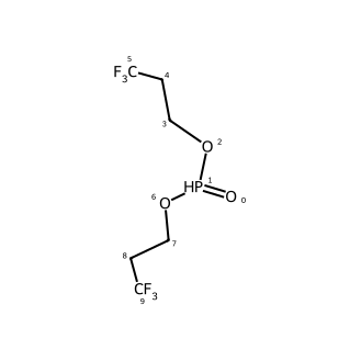 O=[PH](OCCC(F)(F)F)OCCC(F)(F)F